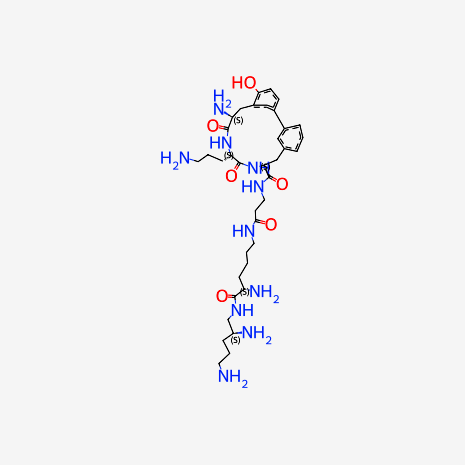 NCCC[C@H](N)CNC(=O)[C@@H](N)CCCCNC(=O)CCNC(=O)[C@@H]1Cc2cccc(c2)-c2ccc(O)c(c2)C[C@H](N)C(=O)N[C@@H](CCCN)C(=O)N1